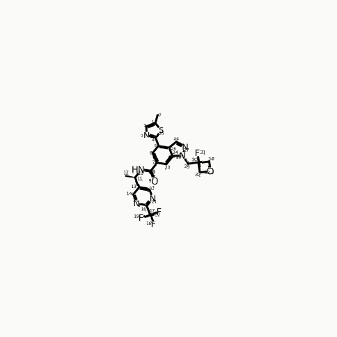 Cc1cnc(-c2cc(C(=O)N[C@H](C)c3cnc(C(F)(F)F)nc3)cc3c2cnn3CC2(F)COC2)s1